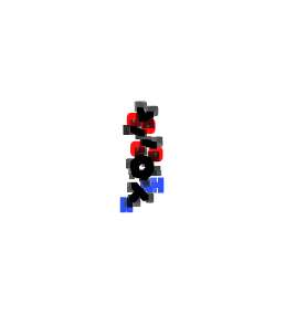 CC(C)(C#N)Nc1ccc2c(c1)OC[C@@H](C1COC(C)(C)O1)O2